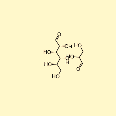 O=CC(O)CO.O=C[C@H](O)[C@@H](O)[C@H](O)[C@H](O)CO